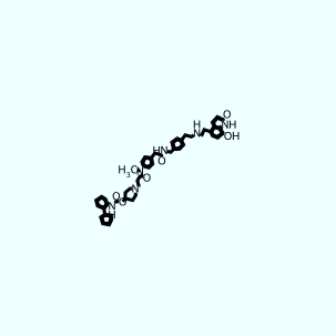 CN(C(=O)CCN1CCC(OC(=O)Nc2ccccc2-c2ccccc2)CC1)c1ccc(CC(=O)NCc2ccc(CCNCCc3ccc(O)c4[nH]c(=O)ccc34)cc2)cc1